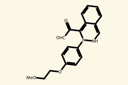 COCCOc1ccc(N2NC=c3ccccc3=C2C(=O)C=O)cc1